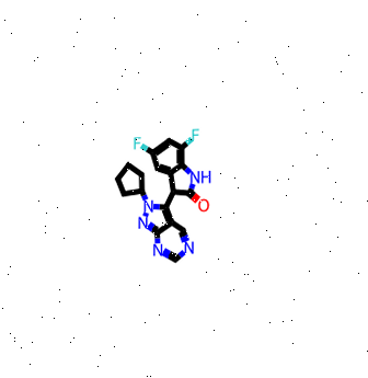 O=C1Nc2c(F)cc(F)cc2C1c1c2cncnc2nn1C1CCCC1